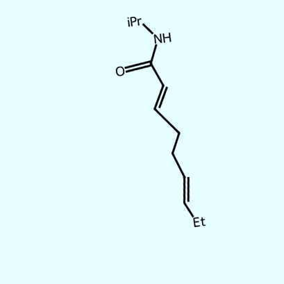 CCC=CCCC=CC(=O)NC(C)C